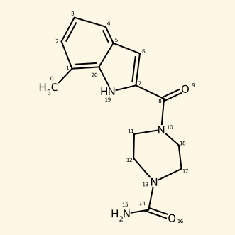 Cc1cccc2cc(C(=O)N3CCN(C(N)=O)CC3)[nH]c12